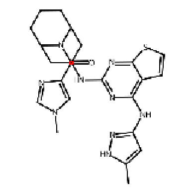 Cc1cc(Nc2nc(NC3CC4CCCC(C3)N4C(=O)c3cn(C)cn3)nc3sccc23)n[nH]1